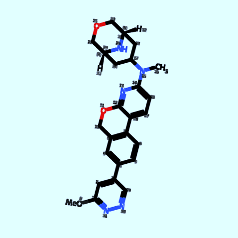 COc1cc(-c2ccc3c(c2)COc2nc(N(C)C4C[C@H]5COC[C@@H](C4)N5)ccc2-3)cnn1